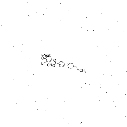 C=CC[C@H]1CC[C@H](c2ccc(C(=O)Oc3ccc(OCCCCC)c(C#N)c3C#N)cc2)CC1